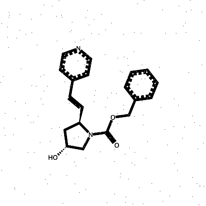 O=C(OCc1ccccc1)N1C[C@H](O)C[C@H]1C=Cc1ccncc1